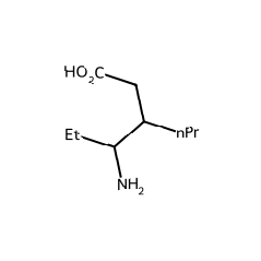 CCCC(CC(=O)O)C(N)CC